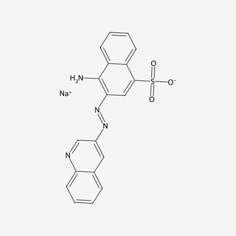 Nc1c(N=Nc2cnc3ccccc3c2)cc(S(=O)(=O)[O-])c2ccccc12.[Na+]